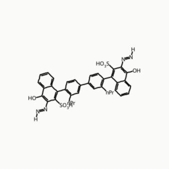 [H]/N=N/c1c(S(=O)(=O)O)c(-c2ccc(-c3ccc(-c4c(S(=O)(=O)O)c(/N=N/[H])c(O)c5ccccc45)c(CCC)c3)cc2CCC)c2ccccc2c1O